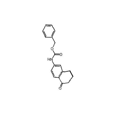 O=C(Nc1ccc2c(c1)CCCC2=O)OCc1ccccc1